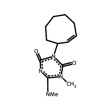 CNc1nc(=O)n(C2C=CCCCCC2)c(=O)n1C